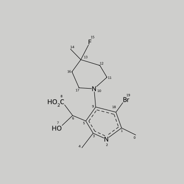 Cc1nc(C)c(C(O)C(=O)O)c(N2CCC(C)(F)CC2)c1Br